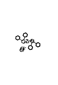 C1=[C]([Zr+2][C]2=CCC(c3ccccc3)=C2c2ccccc2)C(c2ccccc2)=C(c2ccccc2)C1.[Cl-].[Cl-]